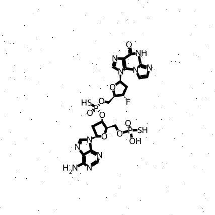 Nc1ncnc2c1ncn2[C@H]1C[C@H](OP(=O)(S)OC[C@H]2O[C@@H](n3cnc4c(=O)[nH]c5nccn5c43)C[C@@H]2F)[C@@H](COP(=O)(O)S)O1